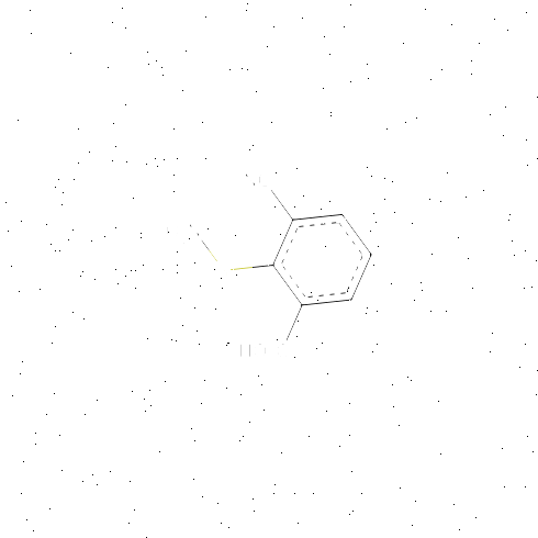 N#Cc1cccc(C(=O)O)c1S[N+](=O)[O-]